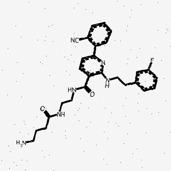 N#Cc1ccccc1-c1ccc(C(=O)NCCNC(=O)CCCN)c(NCCc2cccc(F)c2)n1